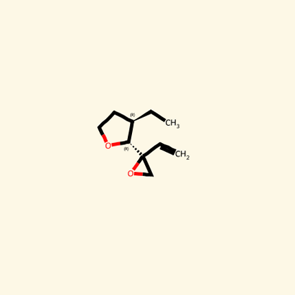 C=CC1([C@@H]2OCC[C@H]2CC)CO1